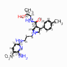 Cc1ccc(-c2cn(CCCNc3ccc([N+](=O)[O-])c(N)n3)cc2C(=O)NC[C@@H](C)O)cc1